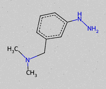 CN(C)Cc1cccc(NN)c1